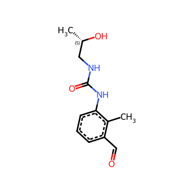 Cc1c(C=O)cccc1NC(=O)NC[C@H](C)O